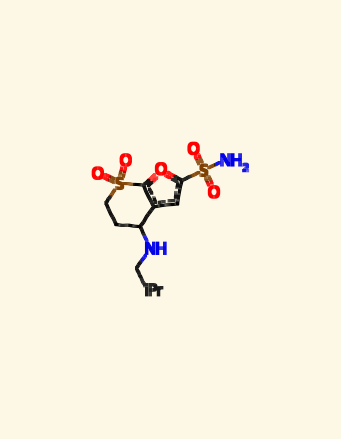 CC(C)CNC1CCS(=O)(=O)c2oc(S(N)(=O)=O)cc21